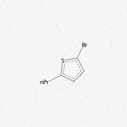 CC[CH]c1ccc(Br)s1